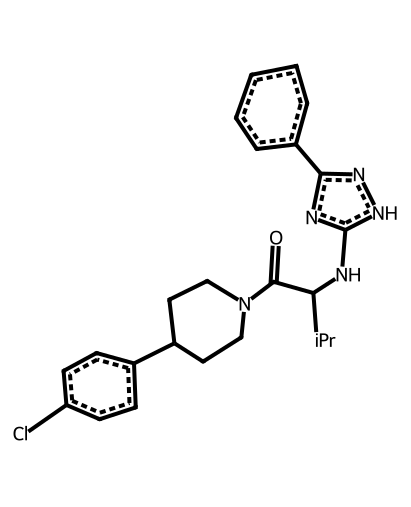 CC(C)C(Nc1nc(-c2ccccc2)n[nH]1)C(=O)N1CCC(c2ccc(Cl)cc2)CC1